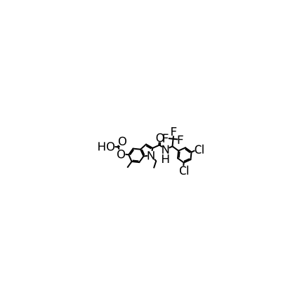 CCn1c(C(=O)NC(c2cc(Cl)cc(Cl)c2)C(F)(F)F)cc2cc(OC(=O)O)c(C)cc21